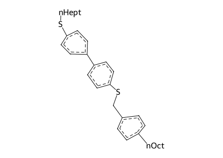 CCCCCCCCc1ccc(CSc2ccc(-c3ccc(SCCCCCCC)cc3)cc2)cc1